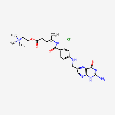 C[N+](C)(C)CCOC(=O)CC[C@H](NC(=O)c1ccc(NCc2cnc3[nH]c(N)nc(=O)c3n2)cc1)C(=O)O.[Cl-]